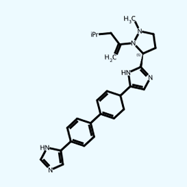 C=C(CC(C)C)N1[C@H](c2ncc(C3C=CC(c4ccc(-c5cnc[nH]5)cc4)=CC3)[nH]2)CCN1C